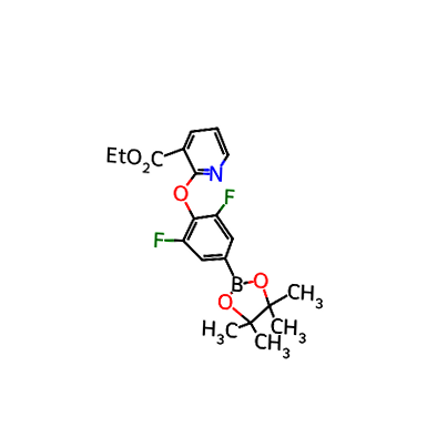 CCOC(=O)c1cccnc1Oc1c(F)cc(B2OC(C)(C)C(C)(C)O2)cc1F